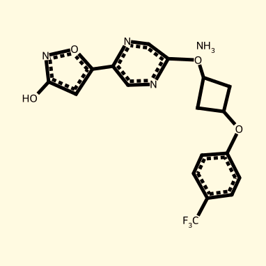 N.Oc1cc(-c2cnc(OC3CC(Oc4ccc(C(F)(F)F)cc4)C3)cn2)on1